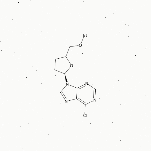 CCOCC1CC[C@H](n2cnc3c(Cl)ncnc32)O1